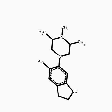 CC(=O)c1cc2c(cc1N1CC(C)N(C)C(C)C1)NCC2